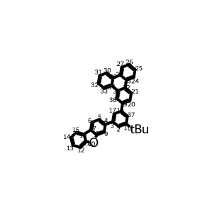 CC(C)(C)c1cc(-c2ccc3c(c2)oc2ccccc23)cc(-c2ccc3c4ccccc4c4ccccc4c3c2)c1